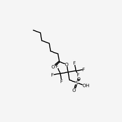 CCCCCCC(=O)OC(CS(=O)(=O)O)(C(F)(F)F)C(F)(F)F